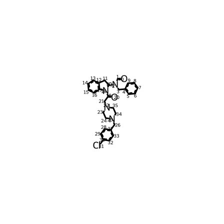 O=CN(Cc1ccccc1)[C@@H]1Cc2ccccc2N1C(=O)CN1CCN(Cc2ccc(Cl)cc2)CC1